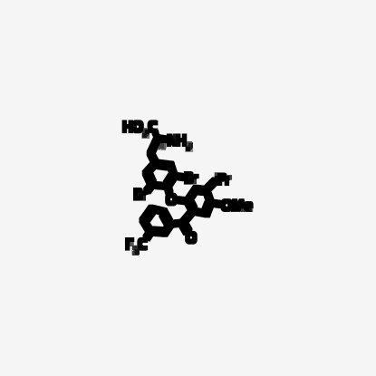 COc1cc(C(=O)c2cccc(C(F)(F)F)c2)c(Oc2c(Br)cc(C[C@H](N)C(=O)O)cc2Br)cc1C(C)C